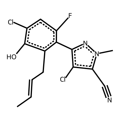 CC=CCc1c(O)c(Cl)cc(F)c1-c1nn(C)c(C#N)c1Cl